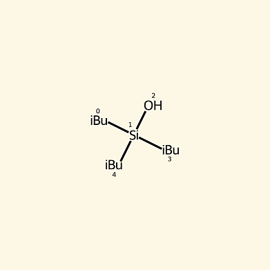 CCC(C)[Si](O)(C(C)CC)C(C)CC